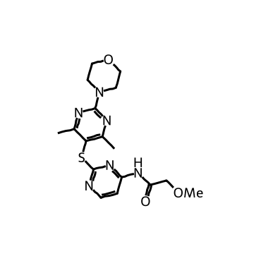 COCC(=O)Nc1ccnc(Sc2c(C)nc(N3CCOCC3)nc2C)n1